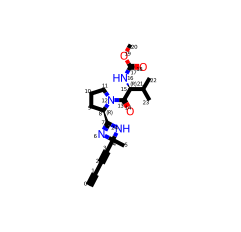 C#CC#CC1(C)N=C([C@H]2CCCN2C(=O)[C@H](NC(=O)OC)C(C)C)N1